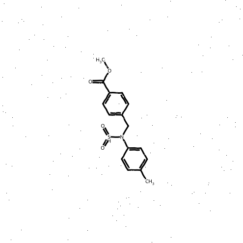 COC(=O)c1ccc(CN(c2ccc(C)cc2)[SH](=O)=O)cc1